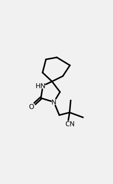 CC(C)(C#N)CN1CC2(CCCCC2)NC1=O